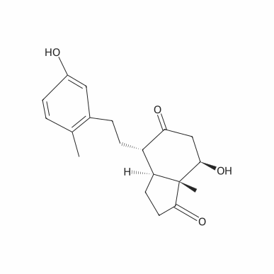 Cc1ccc(O)cc1CC[C@@H]1C(=O)C[C@@H](O)[C@]2(C)C(=O)CC[C@@H]12